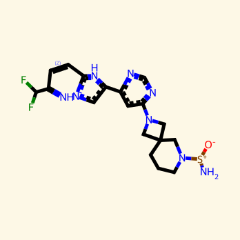 N=C(/C=C\c1ncc(-c2cc(N3CC4(CCCN([S+](N)[O-])C4)C3)ncn2)[nH]1)C(F)F